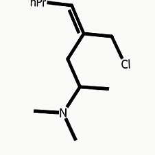 CCCC=C(CCl)CC(C)N(C)C